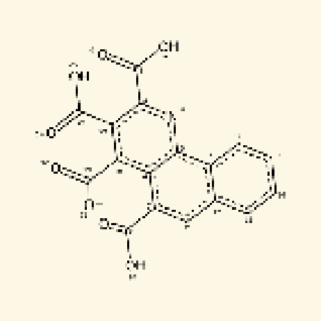 O=C(O)c1nc2c(c(C(=O)O)cc3ccccc32)c(C(=O)O)c1C(=O)O